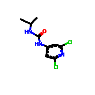 CC(C)NC(=O)Nc1cc(Cl)nc(Cl)c1